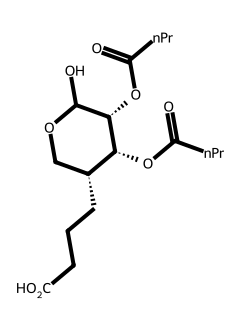 CCCC(=O)O[C@@H]1[C@H](CCCC(=O)O)COC(O)[C@@H]1OC(=O)CCC